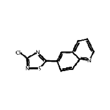 Clc1nsc(-c2ccc3ncccc3c2)n1